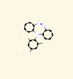 Cc1cc(C)c(N2c3ccccc3N=Nc3ccccc32)c(C)c1